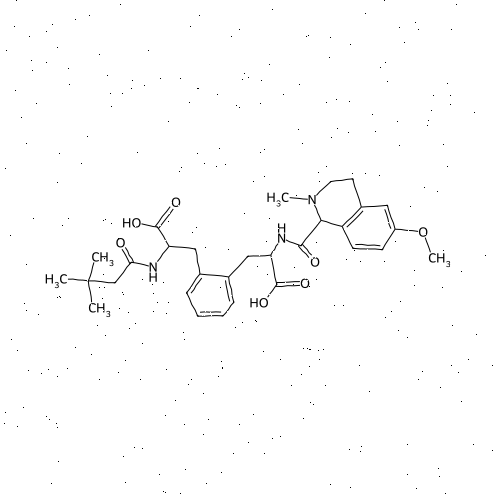 COc1ccc2c(c1)CCN(C)C2C(=O)NC(Cc1ccccc1CC(NC(=O)CC(C)(C)C)C(=O)O)C(=O)O